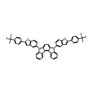 FC(F)(F)c1ccc(-c2cc3cc(-n4c5ccccc5c5c6c7ccccc7n(-c7ccc8oc(-c9ccc(C(F)(F)F)cc9)cc8c7)c6ccc54)ccc3o2)cc1